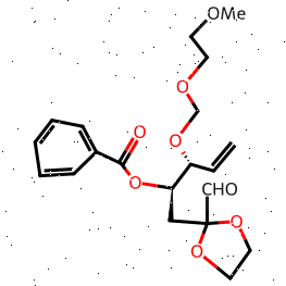 C=C[C@@H](OCOCCOC)[C@@H](CC1(C=O)OCCO1)OC(=O)c1ccccc1